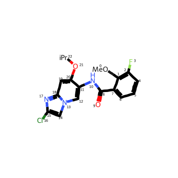 COc1c(F)cccc1C(=O)Nc1cn2cc(Cl)nc2cc1OC(C)C